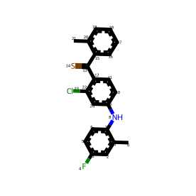 Cc1cc(F)ccc1Nc1ccc(C(=S)c2ccccc2C)c(Cl)c1